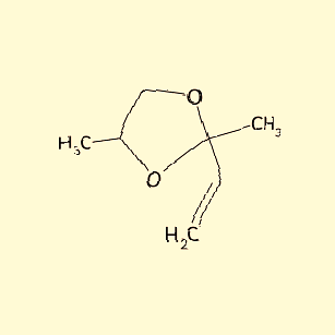 C=CC1(C)OCC(C)O1